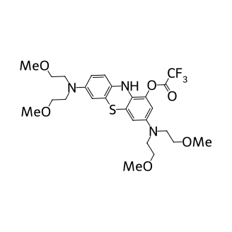 COCCN(CCOC)c1ccc2c(c1)Sc1cc(N(CCOC)CCOC)cc(OC(=O)C(F)(F)F)c1N2